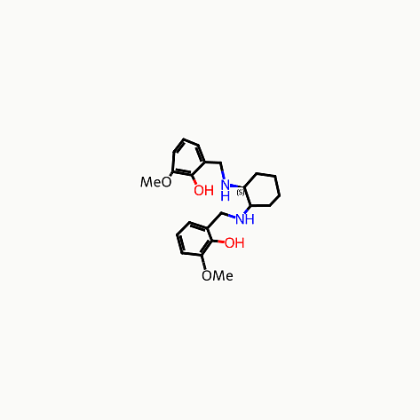 COc1cccc(CNC2CCCC[C@@H]2NCc2cccc(OC)c2O)c1O